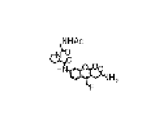 CC(=O)NCC(=O)N1CCCC1C(=O)Nc1ccc2c(CF)c(CC(N)=O)c(=O)oc2c1